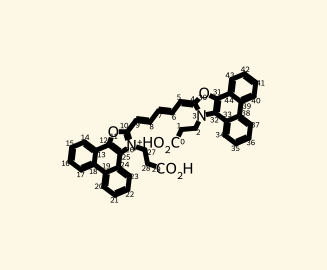 O=C(O)CCN1\C(=C/C=C/C=C/c2oc3c4ccccc4c4ccccc4c3[n+]2CCC(=O)O)Oc2c1c1ccccc1c1ccccc21